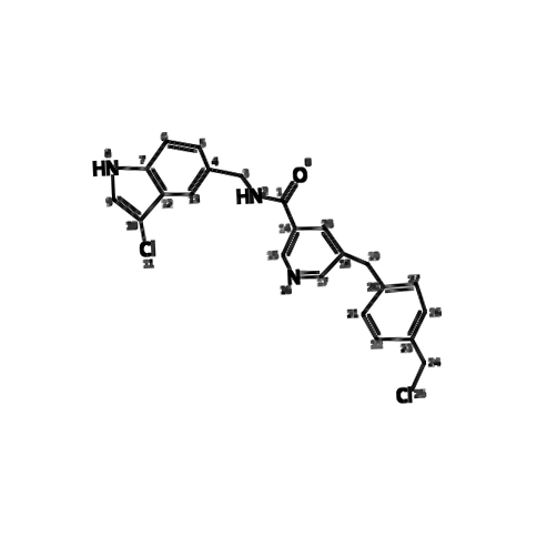 O=C(NCc1ccc2[nH]cc(Cl)c2c1)c1cncc(Cc2ccc(CCl)cc2)c1